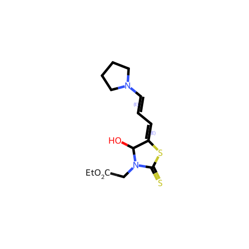 CCOC(=O)CN1C(=S)S/C(=C/C=C/N2CCCC2)C1O